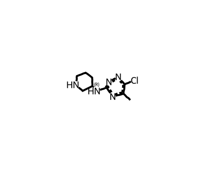 Cc1nc(N[C@@H]2CCCNC2)nnc1Cl